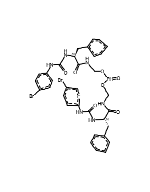 O=C(Nc1ccc(Br)cc1)N[C@@H](Cc1ccccc1)C(=O)NCO[PH](=O)OCNC(=O)[C@H](Cc1ccccc1)NC(=O)Nc1ccc(Br)cc1